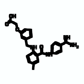 Cc1ccc(NCc2cccc(OCC(=O)O)c2)c(C(=O)Nc2ccc(C(=N)N)cc2)c1